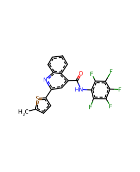 Cc1ccc(-c2cc(C(=O)Nc3c(F)c(F)c(F)c(F)c3F)c3ccccc3n2)s1